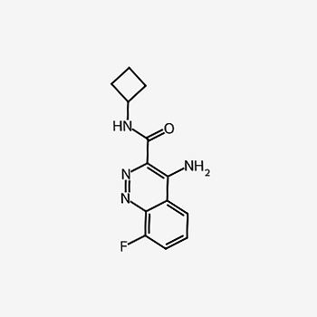 Nc1c(C(=O)NC2CCC2)nnc2c(F)cccc12